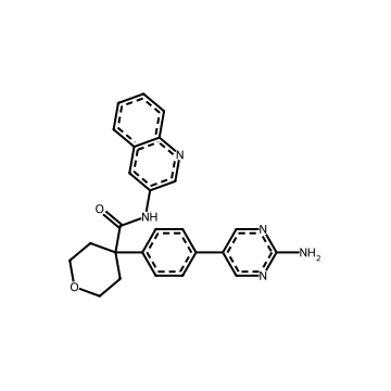 Nc1ncc(-c2ccc(C3(C(=O)Nc4cnc5ccccc5c4)CCOCC3)cc2)cn1